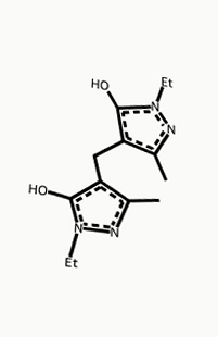 CCn1nc(C)c(Cc2c(C)nn(CC)c2O)c1O